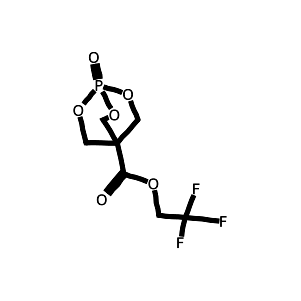 O=C(OCC(F)(F)F)C12COP(=O)(OC1)OC2